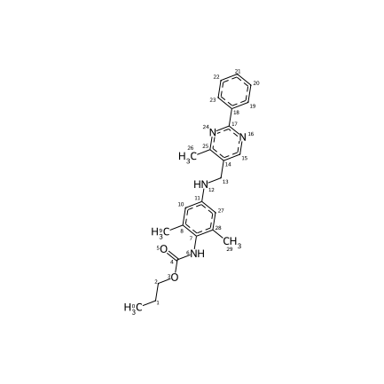 CCCOC(=O)Nc1c(C)cc(NCc2cnc(-c3ccccc3)nc2C)cc1C